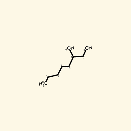 CCC[CH]CC(O)CO